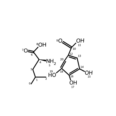 CC(C)C[C@H](N)C(=O)O.O=C(O)c1cc(O)c(O)c(O)c1